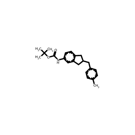 Cc1ccc(CC2Cc3ccc(NC(=O)OC(C)(C)C)cc3C2)cc1